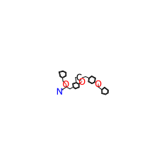 N#CC(Cc1ccc2c(c1)CCC(Cc1ccc(OCc3ccccc3)cc1)O2)OCc1ccccc1